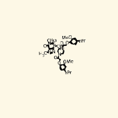 CCCc1ccc(OCC(=O)N2CCN(C(=O)COc3ccc(CCC)cc3OC)CC2)c(OC)c1.Cn1c(=O)c2c(ncn2C)n(C)c1=O